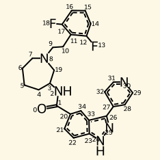 O=C(NC1CCCCN(CCc2c(F)cccc2F)C1)c1ccc2[nH]nc(-c3ccncc3)c2c1